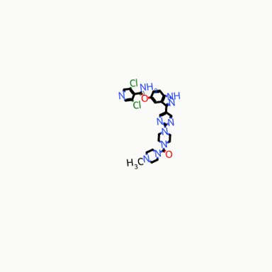 CN1CCN(C(=O)N2CCN(c3ncc(-c4n[nH]c5ccc(O[C@H](N)c6c(Cl)cncc6Cl)cc45)cn3)CC2)CC1